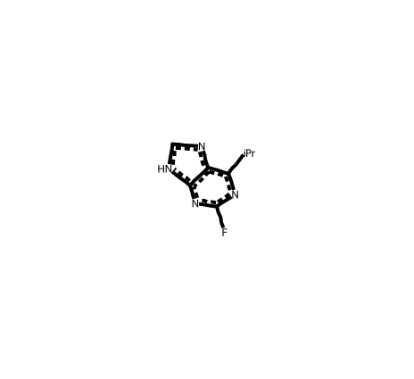 CC(C)c1nc(F)nc2[nH]cnc12